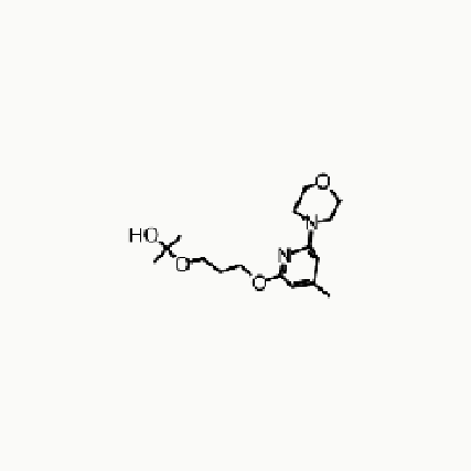 Cc1cc(OCCCOC(C)(C)O)nc(N2CCOCC2)c1